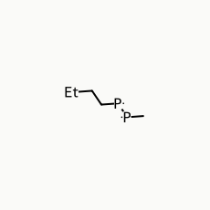 CCCC[P][P]C